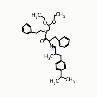 CCOC(CN(CCc1ccccc1)C(=O)C(Cc1ccccc1)/N=C/C(C)Cc1ccc(C(C)C)cc1)OCC